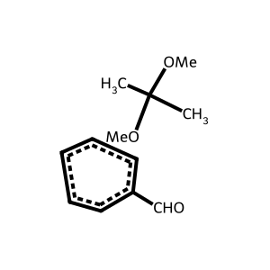 COC(C)(C)OC.O=Cc1ccccc1